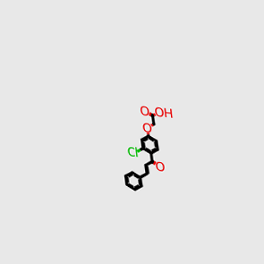 O=C(O)COc1ccc(C(=O)C=Cc2ccccc2)c(Cl)c1